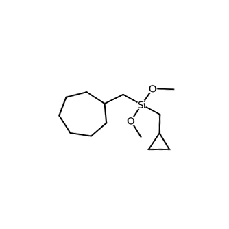 CO[Si](CC1CCCCCC1)(CC1CC1)OC